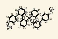 N#COc1ccc(-c2ccccc2-c2ccccc2C(c2ccccc2-c2ccccc2-c2ccc(OC#N)cc2)(C(F)(F)F)C(F)(F)F)cc1